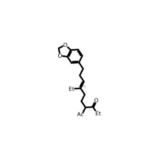 CCC(=O)C(CC/C(=C/CCc1ccc2c(c1)OCO2)CC)C(C)=O